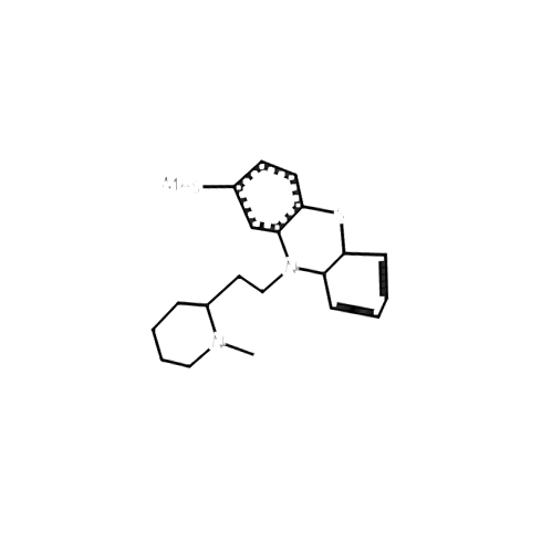 CSc1ccc2c(c1)N(CCC1CCCCN1C)C1C=CC=CC1S2